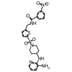 Nc1cccnc1NC1CCN(S(=O)(=O)c2ccc(CNC(=O)c3cccc([N+](=O)[O-])c3)s2)CC1